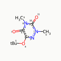 Cn1nc(OC(C)(C)C)c(=O)n(C)c1=O